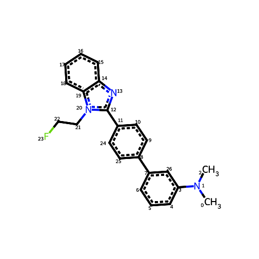 CN(C)c1cccc(-c2ccc(-c3nc4ccccc4n3CCF)cc2)c1